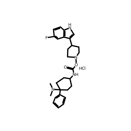 CN(C)C1(c2ccccc2)CCC(NC(=O)ON2CCC(c3c[nH]c4ccc(F)cc34)CC2)CC1.Cl